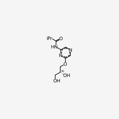 CC(C)C(=O)Nc1cncc(OC[C@H](O)CO)n1